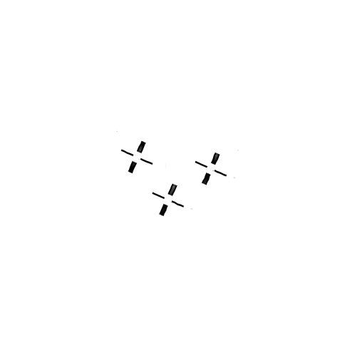 O=S(=O)(O)O.O=S(=O)(O)O.O=S(=O)(O)O.[V].[V]